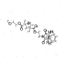 COCCOC(=O)C(C)(Br)CC(C)(C)C(=O)OCCN1C(=O)[C@@H]2[C@H](C1=O)[C@H]1C=C[C@@H]2O1